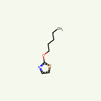 CCCCCOc1nc[c]s1